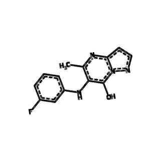 Cc1nc2ccnn2c(O)c1Nc1cccc(F)c1